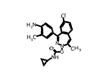 CC1=Cc2ccc(Cl)cc2C(c2ccc(N)c(C)c2)=NN1OC(=O)NC1CC1